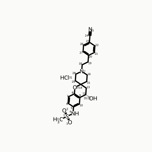 CS(=O)(=O)Nc1ccc2c(c1)[C@@H](O)CC1(CCN(CCc3ccc(C#N)cc3)CC1)O2.Cl